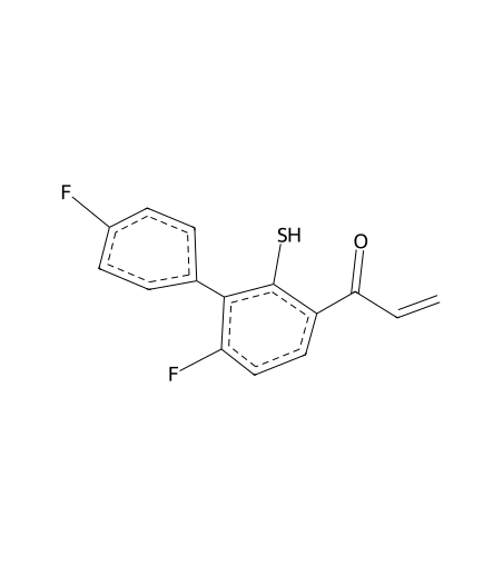 C=CC(=O)c1ccc(F)c(-c2ccc(F)cc2)c1S